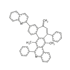 C=C1C=C(c2ccccc2)c2c(c(C)c3c(-c4ccccc4)nc4ccccc4c3c2C)-c2ccc(-c3ccc4ccccc4n3)cc21